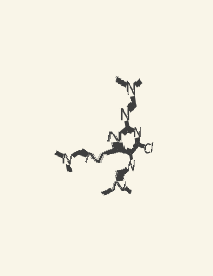 CN(C)C=Nc1nc(Cl)c(N=CN(C)C)c(N=CN(C)C)n1